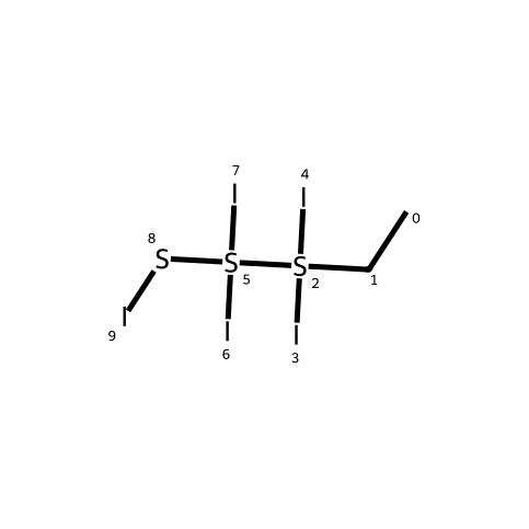 CCS(I)(I)S(I)(I)SI